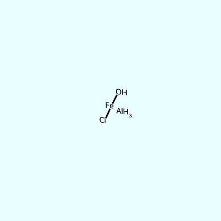 [AlH3].[OH][Fe][Cl]